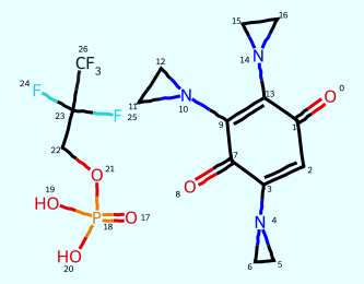 O=C1C=C(N2CC2)C(=O)C(N2CC2)=C1N1CC1.O=P(O)(O)OCC(F)(F)C(F)(F)F